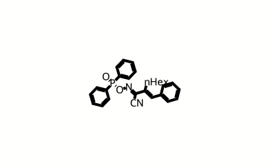 CCCCCCC(=C\c1ccccc1)/C(C#N)=N/OP(=O)(c1ccccc1)c1ccccc1